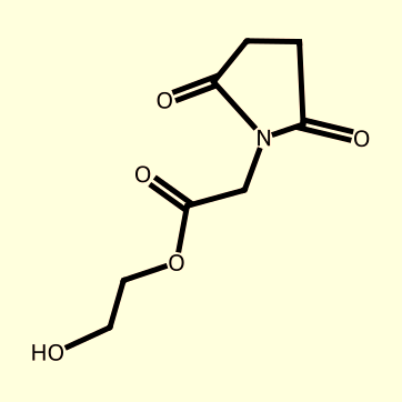 O=C(CN1C(=O)CCC1=O)OCCO